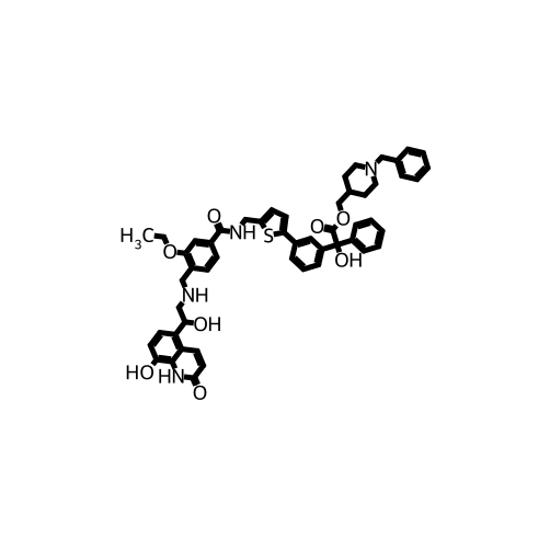 CCOc1cc(C(=O)NCc2ccc(-c3cccc(C(O)(C(=O)OCC4CCN(Cc5ccccc5)CC4)c4ccccc4)c3)s2)ccc1CNCC(O)c1ccc(O)c2[nH]c(=O)ccc12